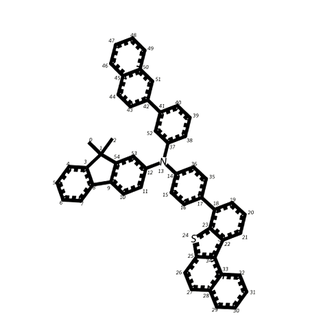 CC1(C)c2ccccc2-c2ccc(N(c3ccc(-c4cccc5c4sc4ccc6ccccc6c45)cc3)c3cccc(-c4ccc5ccccc5c4)c3)cc21